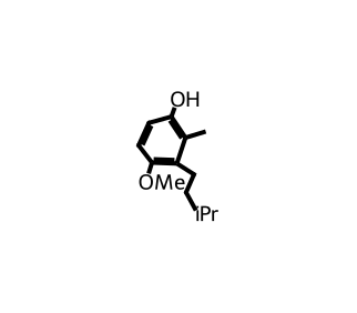 COc1ccc(O)c(C)c1CCC(C)C